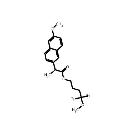 [2H]C([2H])(CCCOC(=O)[C@@H](C)c1ccc2cc(OC)ccc2c1)OC